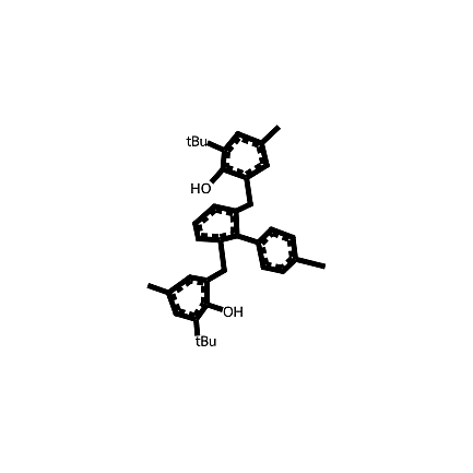 Cc1ccc(-c2c(Cc3cc(C)cc(C(C)(C)C)c3O)cccc2Cc2cc(C)cc(C(C)(C)C)c2O)cc1